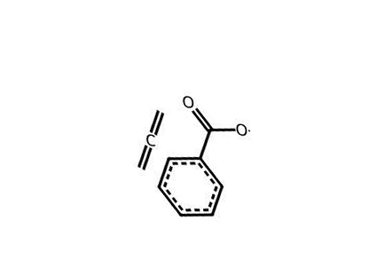 C=C=C.[O]C(=O)c1ccccc1